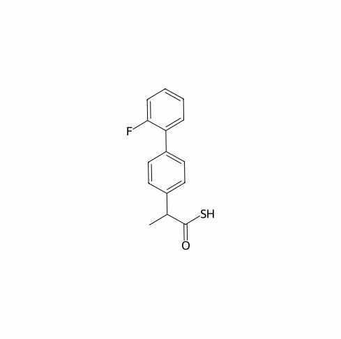 CC(C(=O)S)c1ccc(-c2ccccc2F)cc1